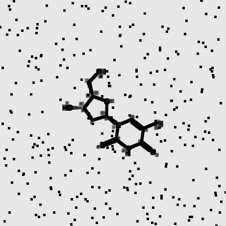 O=c1[nH]c(=O)n([C@H]2C[C@H](O)[C@@H](CO)O2)c[c]1[Hg]